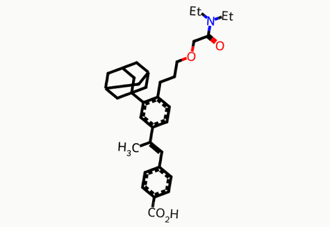 CCN(CC)C(=O)COCCCc1ccc(C(C)=Cc2ccc(C(=O)O)cc2)cc1C12CC3CC(CC(C3)C1)C2